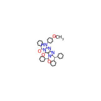 COc1ccc(Nc2nc3nc(C(c4ccccc4)c4ccccc4)n(C(=O)c4ccccc4)c3c(=O)n2C(=O)c2ccccc2)cc1